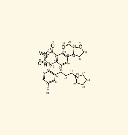 COC(=O)c1c(N(c2ccc(F)cc2CCCN2CCCC2)[SH](=O)=O)ccc2c1OCC1OCCC21